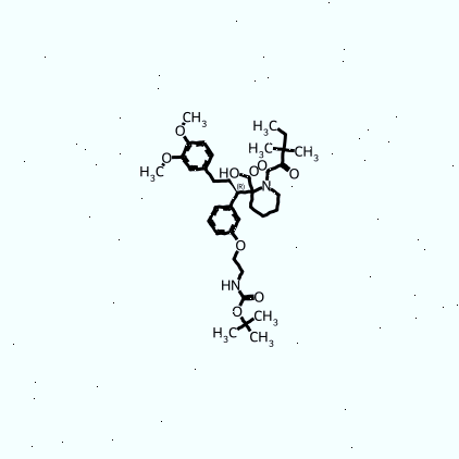 CCC(C)(C)C(=O)C(=O)N1CCCCC1(C(=O)O)[C@H](CCc1ccc(OC)c(OC)c1)c1cccc(OCCNC(=O)OC(C)(C)C)c1